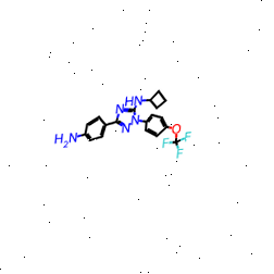 Nc1ccc(-c2nc(NC3CCC3)n(-c3ccc(OC(F)(F)F)cc3)n2)cc1